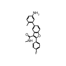 CNC(=O)c1c(-c2ccc(F)cc2)oc2ccc(-c3cc(N)ccc3C)cc12